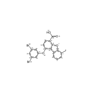 Cc1cccc2c1oc1c(C(=O)O)ccc(Oc3cc(Br)cc(Br)c3)c12